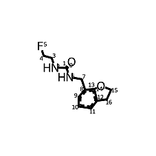 O=C(NCCF)NCc1cccc2c1OCC2